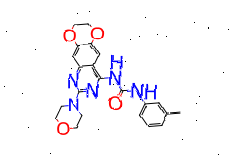 Cc1cccc(NC(=O)Nc2nc(N3CCOCC3)nc3cc4c(cc23)OCCO4)c1